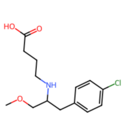 COCC(Cc1ccc(Cl)cc1)NCCCC(=O)O